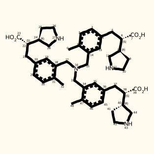 Cc1ccc(C[C@H](C(=O)O)[C@H]2CCNC2)cc1CN(Cc1cc(C[C@H](C(=O)O)[C@H]2CCNC2)ccc1C)Cc1cc(C[C@H](C(=O)O)[C@H]2CCNC2)ccc1C